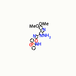 COc1cc2ncc3c(N)nc(-c4cncc(OC[C@@]5(P(=O)(c6ccccc6)c6ccccc6)CN5)c4)cc3c2cc1OC